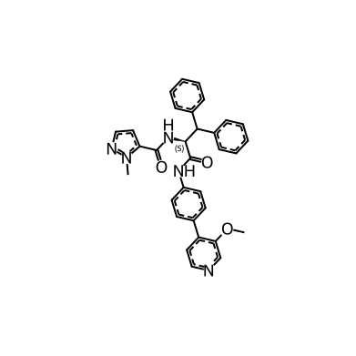 COc1cnccc1-c1ccc(NC(=O)[C@@H](NC(=O)c2ccnn2C)C(c2ccccc2)c2ccccc2)cc1